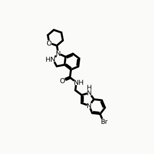 O=C(NCC1=CN2C=C(Br)C=CC2N1)c1cccc2c1CNN2C1CCCCO1